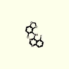 Fc1cccc2ncnc(Nc3c(Cl)ccc4c3OCO4)c12